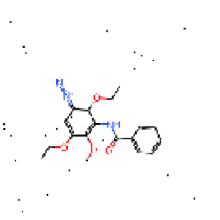 CCOC1=CC(=[N+]=[N-])C(OCC)C(NC(=O)c2ccccc2)=C1OC